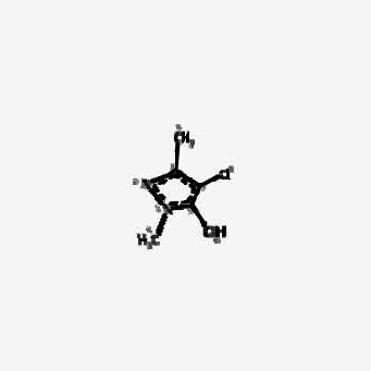 Cc1nn(C)c(O)c1Cl